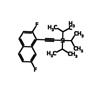 CC(C)[Si](C#Cc1c(F)ccc2ccc(F)cc12)(C(C)C)C(C)C